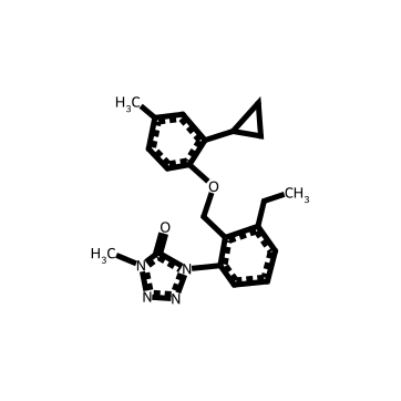 CCc1cccc(-n2nnn(C)c2=O)c1COc1ccc(C)cc1C1CC1